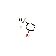 Cc1c[c]cc(Br)c1F